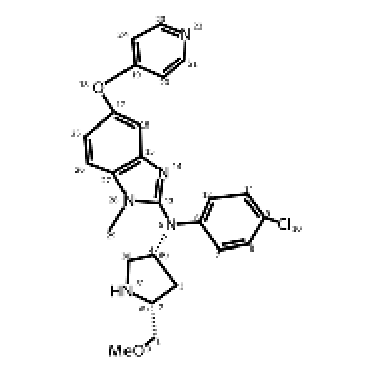 COC[C@H]1C[C@@H](N(c2ccc(Cl)cc2)c2nc3cc(Oc4c[c]ncc4)ccc3n2C)CN1